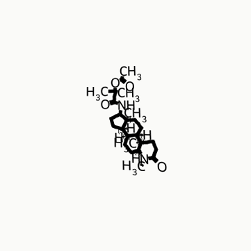 CC(=O)OC(C)(C)C(=O)NC1CC[C@H]2[C@@H]3CC[C@H]4N(C)C(=O)CC[C@]4(C)[C@H]3CC[C@]12C